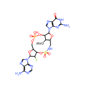 COC1C2CNS(=O)(=O)OC3C(COP(=O)(O)OC1C(n1cnc4c(=O)[nH]c(N)nc41)O2)OC(n1cnc2c(N)ncnc21)C3F